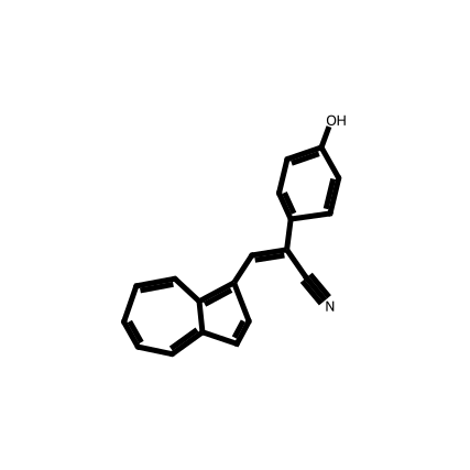 N#CC(=Cc1ccc2cccccc1-2)c1ccc(O)cc1